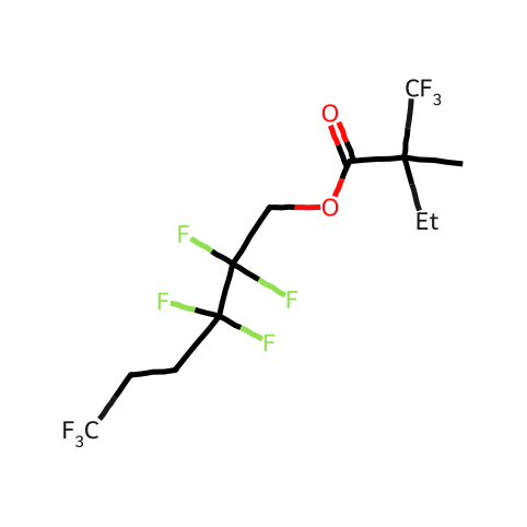 CCC(C)(C(=O)OCC(F)(F)C(F)(F)CCC(F)(F)F)C(F)(F)F